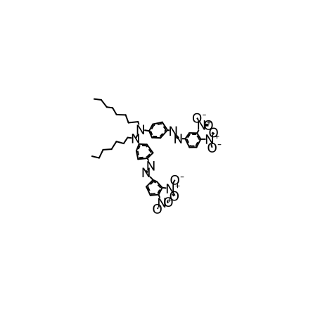 CCCCCCCCN(c1ccc(N=Nc2ccc([N+](=O)[O-])c([N+](=O)[O-])c2)cc1)N(CCCCCCC)c1ccc(N=Nc2ccc([N+](=O)[O-])c([N+](=O)[O-])c2)cc1